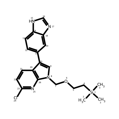 C[Si](C)(C)CCOCn1cc(-c2ccc3[nH]cnc3c2)c2ccc(Cl)nc21